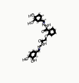 O=C(COc1ccccc1C(=O)N/N=C/c1ccc(O)c(O)c1)N/N=C/c1ccc(O)c(O)c1